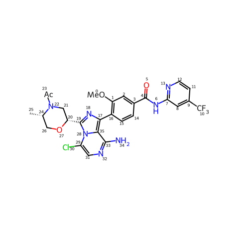 COc1cc(C(=O)Nc2cc(C(F)(F)F)ccn2)ccc1-c1nc([C@H]2CN(C(C)=O)[C@@H](C)CO2)n2c(Cl)cnc(N)c12